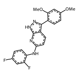 COc1ccc(-c2n[nH]c3nc(Nc4ccc(F)cc4F)ccc23)c(OC)c1